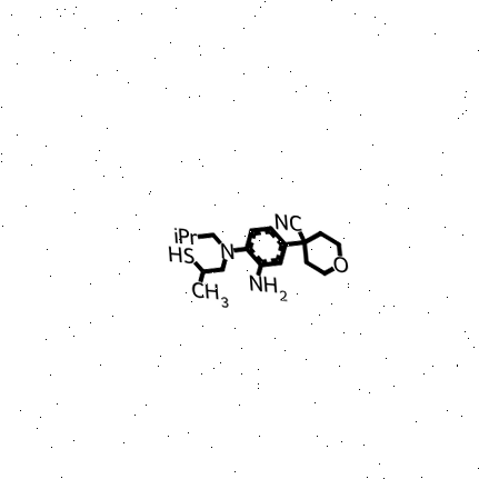 CC(C)CN(CC(C)S)c1ccc(C2(C#N)CCOCC2)cc1N